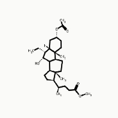 CC[C@H]1[C@@H](O)C2C3CC[C@H]([C@H](C)CCC(=O)OC)[C@@]3(C)CCC2[C@@]2(C)CC[C@@H](OC(C)=O)C[C@@H]12